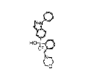 OC(c1ccc2c(cnn2-c2ccccc2)c1)(c1ccccc1CN1CCOCC1)C(F)(F)F